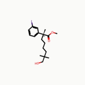 COC(=O)[C@](C)(CCCCC(C)(C)CO)c1cccc(I)c1